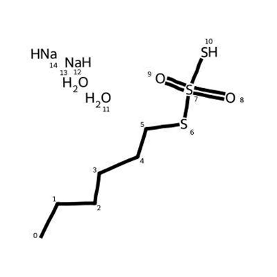 CCCCCCSS(=O)(=O)S.O.O.[NaH].[NaH]